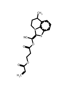 C=CC(=O)OCCC(=O)O/C(C#N)=C1\Sc2cccc3c2N1CCC3C